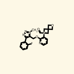 Cn1nnc(-c2ccccc2F)c1COc1ncccc1[N+]1(C=O)CC2(COC2)C1